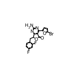 Nc1nc(-c2ccc(Br)o2)c2c(n1)C(Cc1ccc(F)cc1F)OC2=O